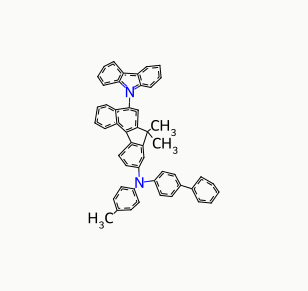 Cc1ccc(N(c2ccc(-c3ccccc3)cc2)c2ccc3c(c2)C(C)(C)c2cc(-n4c5ccccc5c5ccccc54)c4ccccc4c2-3)cc1